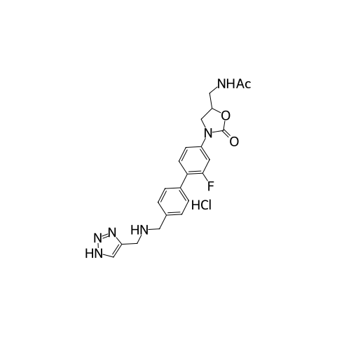 CC(=O)NCC1CN(c2ccc(-c3ccc(CNCc4c[nH]nn4)cc3)c(F)c2)C(=O)O1.Cl